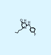 CCCCc1cc(=O)[nH]c(Nc2ccc(F)cc2)n1